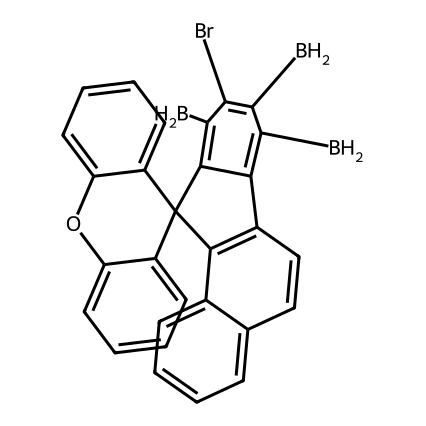 Bc1c(B)c2c(c(B)c1Br)C1(c3ccccc3Oc3ccccc31)c1c-2ccc2ccccc12